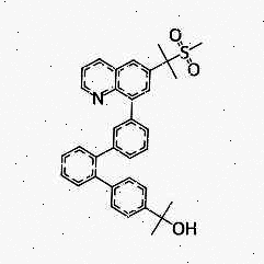 CC(C)(O)c1ccc(-c2ccccc2-c2cccc(-c3cc(C(C)(C)S(C)(=O)=O)cc4cccnc34)c2)cc1